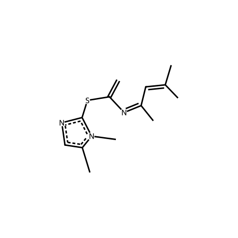 C=C(/N=C(/C)C=C(C)C)Sc1ncc(C)n1C